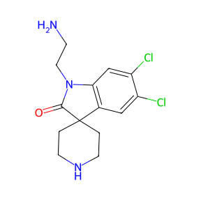 NCCN1C(=O)C2(CCNCC2)c2cc(Cl)c(Cl)cc21